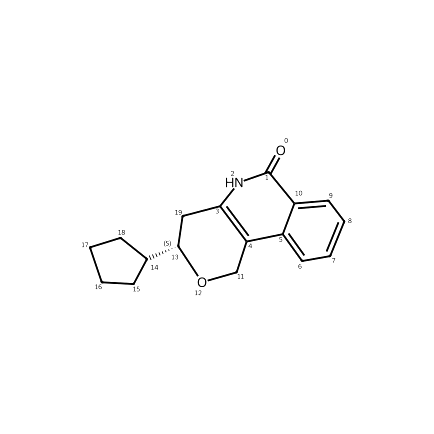 O=c1[nH]c2c(c3ccccc13)CO[C@H](C1CCCC1)C2